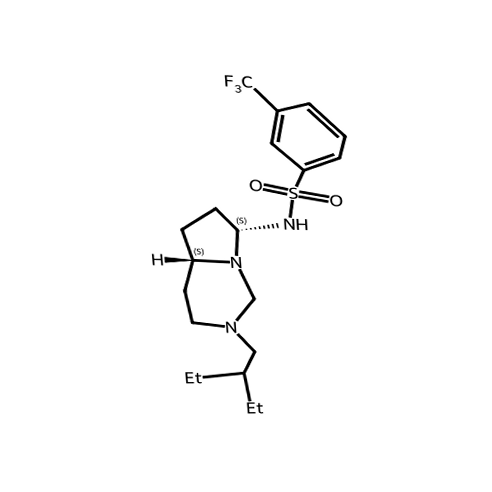 CCC(CC)CN1CC[C@@H]2CC[C@H](NS(=O)(=O)c3cccc(C(F)(F)F)c3)N2C1